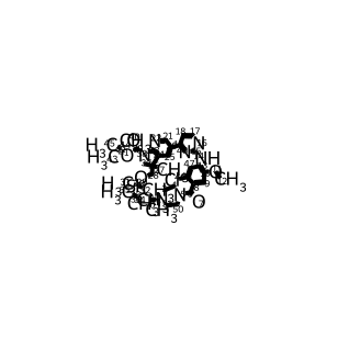 CCN1CCN(C(=O)c2cc(OC)c(Nc3nccc(-c4cnc5c(c4)C(C)(CO[Si](C)(C)C(C)(C)C)CN5C(=O)OC(C)(C)C)n3)cc2Cl)CC1